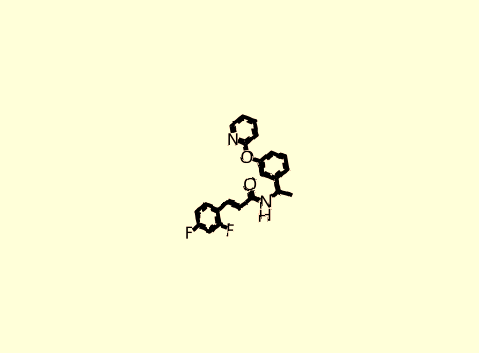 CC(NC(=O)C=Cc1ccc(F)cc1F)c1cccc(Oc2ccccn2)c1